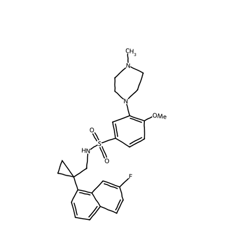 COc1ccc(S(=O)(=O)NCC2(c3cccc4ccc(F)cc34)CC2)cc1N1CCN(C)CC1